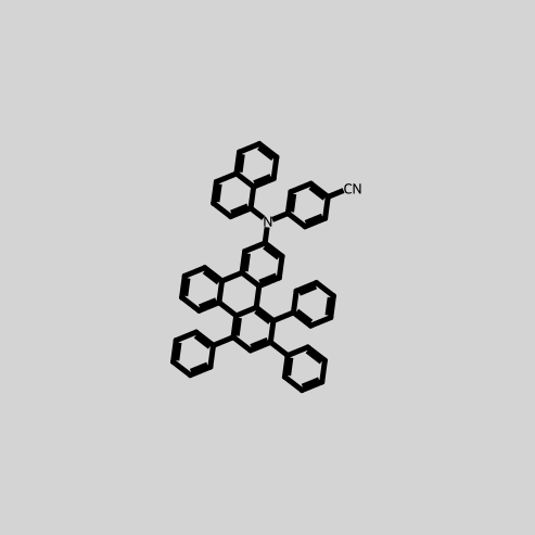 N#Cc1ccc(N(c2ccc3c(c2)c2ccccc2c2c(-c4ccccc4)cc(-c4ccccc4)c(-c4ccccc4)c32)c2cccc3ccccc23)cc1